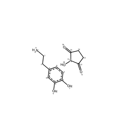 NCCc1ccc(O)c(O)c1.O=C1CCC(=O)N1O